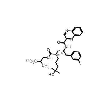 CC(C)(O)CCC[C@H]([CH][C@@H](Cc1cccc(F)c1)NC(=O)c1cnc2ccccc2n1)C(=O)NCC(N)C(=O)O